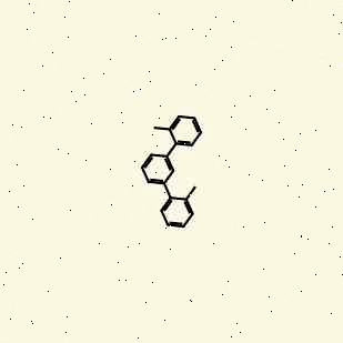 Cc1ccccc1-c1cccc(-c2ccccc2C)c1